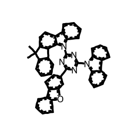 CC1(C)c2ccccc2-c2c1ccc1c3ccccc3n(-c3nc(-c4ccc5c(c4)oc4ccccc45)nc(-n4c5ccccc5c5ccccc54)n3)c21